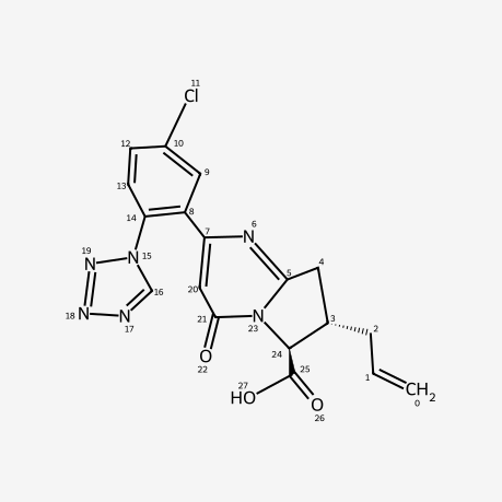 C=CC[C@H]1Cc2nc(-c3cc(Cl)ccc3-n3cnnn3)cc(=O)n2[C@@H]1C(=O)O